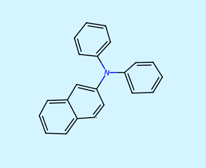 [c]1cc(N(c2ccccc2)c2ccccc2)cc2ccccc12